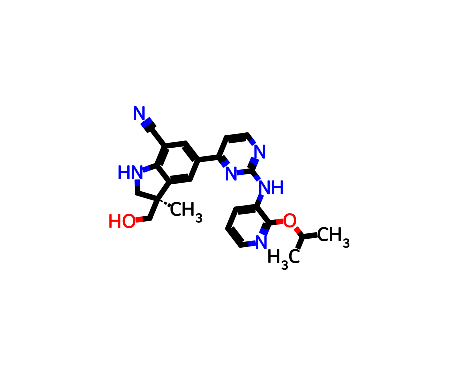 CC(C)Oc1ncccc1Nc1nccc(-c2cc(C#N)c3c(c2)[C@@](C)(CO)CN3)n1